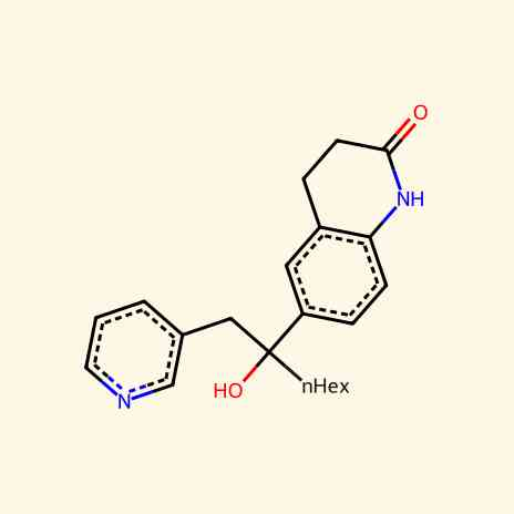 CCCCCCC(O)(Cc1cccnc1)c1ccc2c(c1)CCC(=O)N2